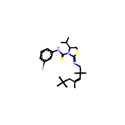 CC(=CC(C)(C)CN=C1SCC(C(C)C)N1C(=S)Nc1cccc(Br)c1)CC(C)(C)C